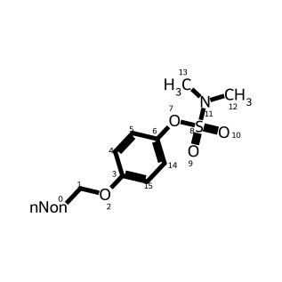 CCCCCCCCCCOc1ccc(OS(=O)(=O)N(C)C)cc1